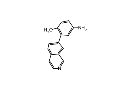 Cc1ccc(N)cc1-c1ccc2ccncc2c1